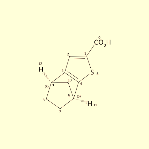 O=C(O)c1cc2c(s1)[C@H]1CC[C@@H]2C1